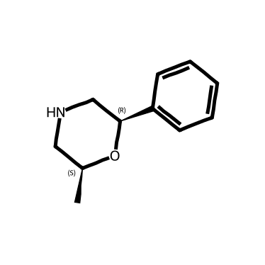 C[C@H]1CNC[C@@H](c2ccccc2)O1